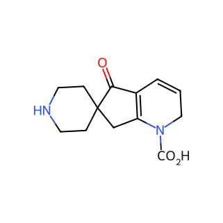 O=C(O)N1CC=CC2=C1CC1(CCNCC1)C2=O